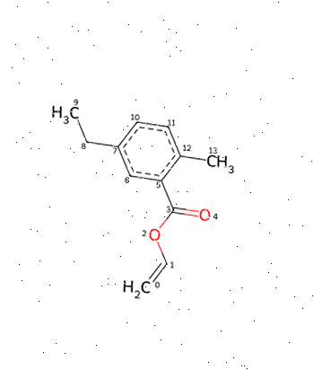 C=COC(=O)c1cc(CC)ccc1C